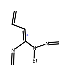 C=C/C=C(\N=C)N(CC)N=C